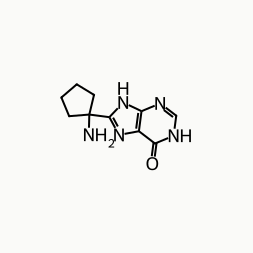 NC1(c2nc3c(=O)[nH]cnc3[nH]2)CCCC1